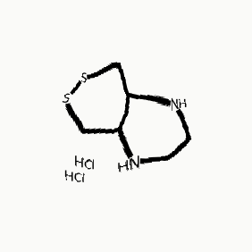 C1CNC2CSSCC2N1.Cl.Cl